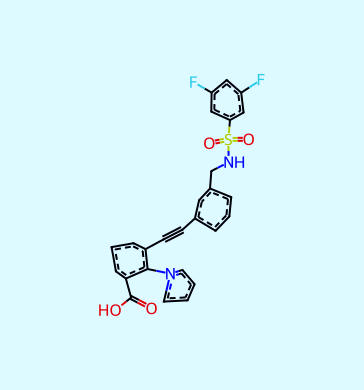 O=C(O)c1cccc(C#Cc2cccc(CNS(=O)(=O)c3cc(F)cc(F)c3)c2)c1-n1cccc1